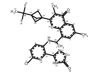 Cc1cc([C@@H](C)Nc2ccc(Cl)nc2-c2noc(=O)[nH]2)c2oc(C34CC(C(C)(F)F)(C3)C4)c(C)c(=O)c2c1